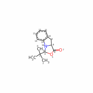 CC(C)(C)C1OC(=O)C2Cc3ccccc3N21